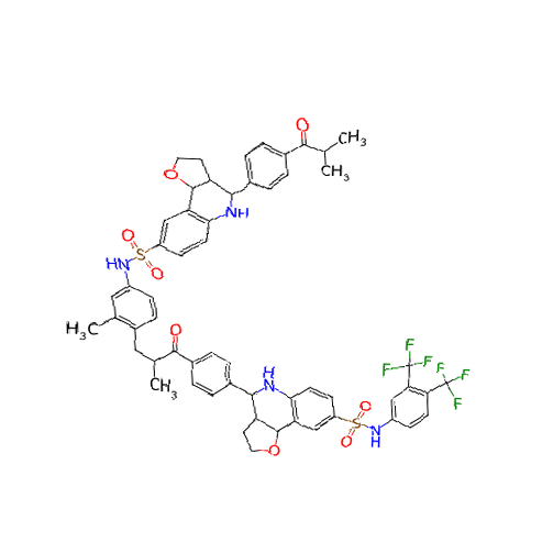 Cc1cc(NS(=O)(=O)c2ccc3c(c2)C2OCCC2C(c2ccc(C(=O)C(C)C)cc2)N3)ccc1CC(C)C(=O)c1ccc(C2Nc3ccc(S(=O)(=O)Nc4ccc(C(F)(F)F)c(C(F)(F)F)c4)cc3C3OCCC23)cc1